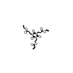 C=COC(=O)CCn1c(=O)n(CCOC(=O)C=C)c(=O)n(CCC(=O)OC=C)c1=O